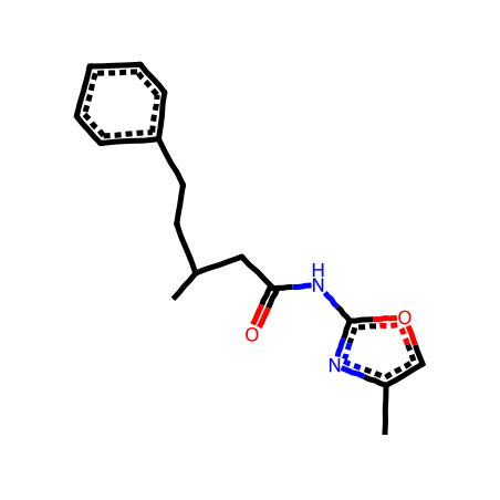 Cc1coc(NC(=O)CC(C)CCc2ccccc2)n1